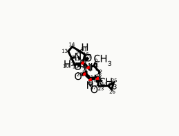 CC1CN(C)CCN1S(=O)(=O)N1[C@@H]2CC[C@H]1C[C@@H](NC(=O)c1cc(C3CC3)on1)C2